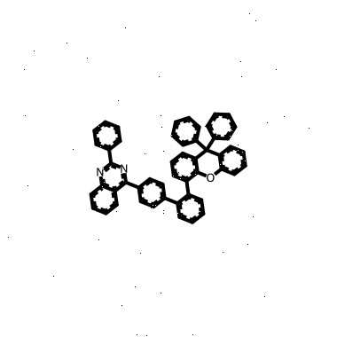 c1ccc(-c2nc(-c3ccc(-c4ccccc4-c4cccc5c4Oc4ccccc4C5(c4ccccc4)c4ccccc4)cc3)c3ccccc3n2)cc1